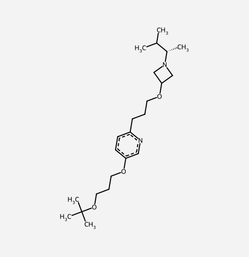 CC(C)[C@H](C)N1CC(OCCCc2ccc(OCCCOC(C)(C)C)cn2)C1